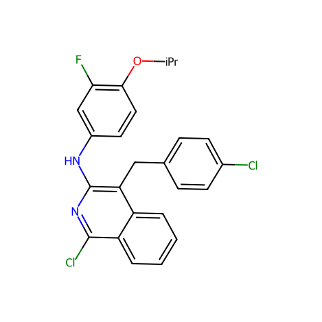 CC(C)Oc1ccc(Nc2nc(Cl)c3ccccc3c2Cc2ccc(Cl)cc2)cc1F